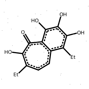 CCc1ccc2c(CC)c(O)c(O)c(O)c2c(=O)c1O